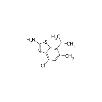 Cc1cc(Cl)c2nc(N)sc2c1C(C)C